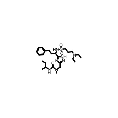 CCC(C)NC(=O)N(C)Cc1n[nH]c([C@@H](CCc2ccccc2)NS(=O)(=O)CCCN(CC)CC)n1